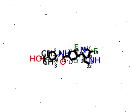 CC(C)(O)[C@H]1CC[C@H](NC(=O)c2ccc(-c3ncc(F)c4[nH]ccc34)c(F)c2)CC1